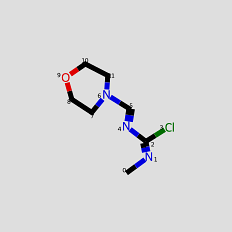 C/N=C(Cl)\N=C\N1CCOCC1